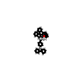 c1ccc(C2NC(c3ccc(-n4c5ccccc5c5ccccc54)cc3)=NC3=C2C2(c4ccccc43)c3ccccc3-c3ccccc32)cc1